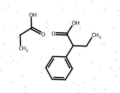 CCC(=O)O.CCC(C(=O)O)c1ccccc1